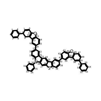 C1=CC(c2ccccc2)Cc2c1oc1ccc(-c3ccc4c(c3)c3cc5c(cc3n4-c3ccccc3)sc3ccc(-c4ccc6oc7ccc(-c8ccccc8)cc7c6c4)cc35)cc21